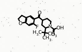 CC(C)(C)C1CC(C(=O)c2cc3c(cc2F)OCC3)CCN1C(=O)O